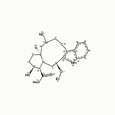 CCO[C@H]1CC2[C@@H](CC[C@H](O)[C@@H]2C(=O)OC)CN(C#N)CCc2c1[nH]c1ccccc21